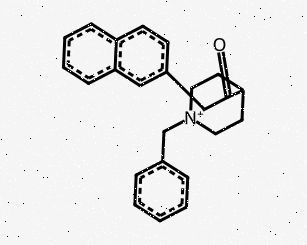 O=C1C2CC[N+](Cc3ccccc3)(CC2)C1c1ccc2ccccc2c1